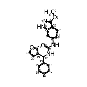 COc1n[nH]c2cc(NC(=O)NC(c3ccccc3)c3ccoc3)ncc12